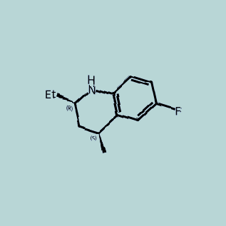 CC[C@@H]1C[C@H](C)c2cc(F)ccc2N1